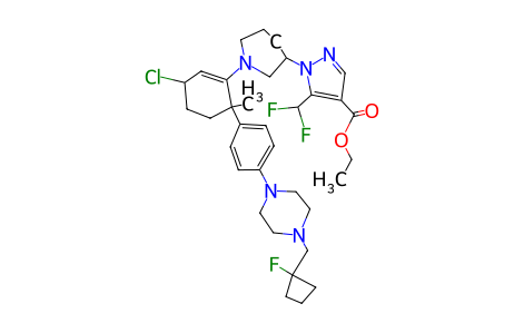 CCOC(=O)c1cnn(C2CCCN(C3=CC(Cl)CCC3(C)c3ccc(N4CCN(CC5(F)CCC5)CC4)cc3)C2)c1C(F)F